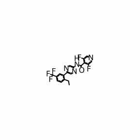 CCc1ccc(C(F)(F)F)cc1-c1cnc(NC(=O)c2c(F)cncc2F)cn1